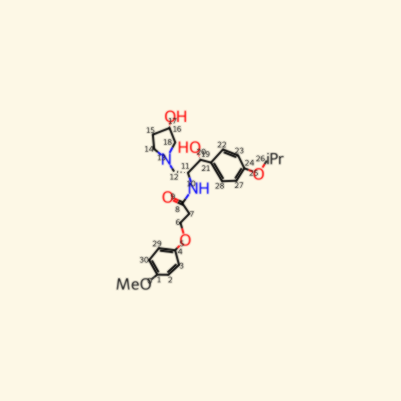 COc1ccc(OCCC(=O)N[C@H](CN2CC[C@H](O)C2)[C@H](O)c2ccc(OC(C)C)cc2)cc1